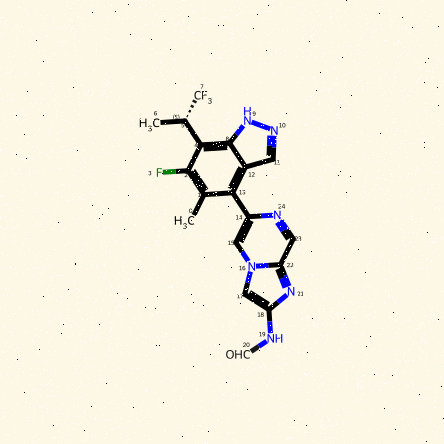 Cc1c(F)c([C@H](C)C(F)(F)F)c2[nH]ncc2c1-c1cn2cc(NC=O)nc2cn1